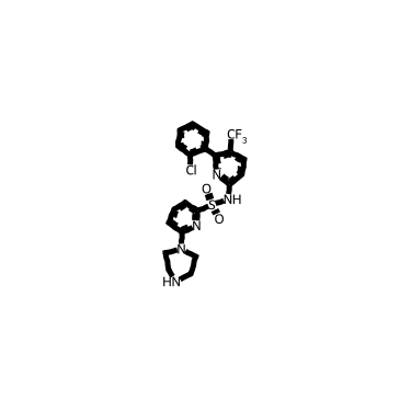 O=S(=O)(Nc1ccc(C(F)(F)F)c(-c2ccccc2Cl)n1)c1cccc(N2CCNCC2)n1